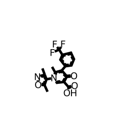 Cc1noc(C)c1-n1cc(C(=O)O)c(=O)c(-c2cccc(C(F)(F)F)c2)c1C